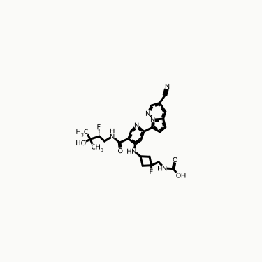 CC(C)(O)[C@H](F)CNC(=O)c1cnc(-c2ccc3cc(C#N)cnn23)cc1NC1CC(F)(CNC(=O)O)C1